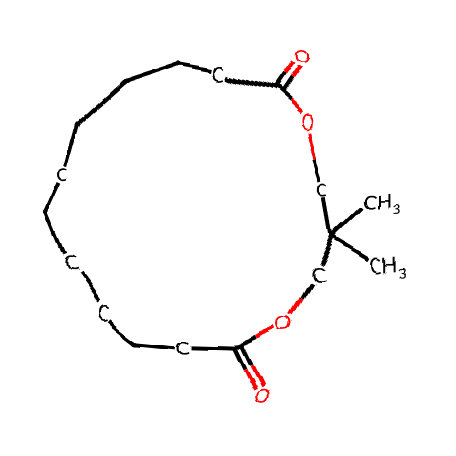 CC1(C)COC(=O)CCCCCCCCCCC(=O)OC1